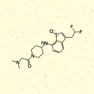 CN(C)CC(=O)N1CCC(Nc2cccc3c(CC(F)F)c[s+]([O-])c23)CC1